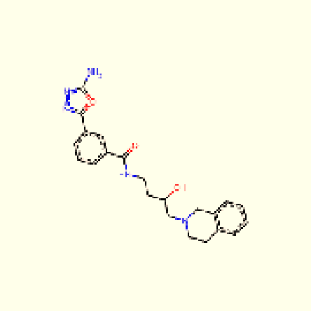 Nc1nnc(-c2cccc(C(=O)NCCC(O)CN3CCc4ccccc4C3)c2)o1